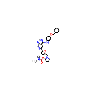 CN(C)C(=O)O[C@H]1CCCN1Cc1ccc(-c2cc3c(Nc4ccc(OCc5ccccc5)cc4)ncnc3cn2)o1